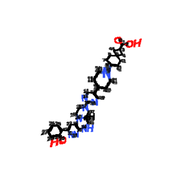 O=C(O)C1CC2(CCC(N3CCC(c4cnc(N5CCN6c7cc(-c8ccccc8O)nnc7NC[C@H]6C5)nc4)CC3)CC2)C1